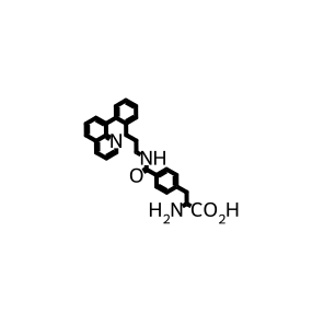 NC(Cc1ccc(C(=O)NCCCc2ccccc2-c2cccc3cccnc23)cc1)C(=O)O